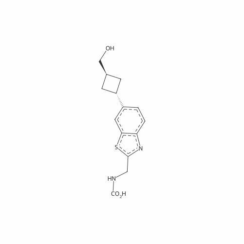 O=C(O)NCc1nc2ccc([C@H]3C[C@H](CO)C3)cc2s1